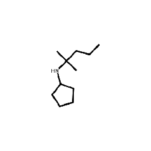 CCCC(C)(C)NC1CCCC1